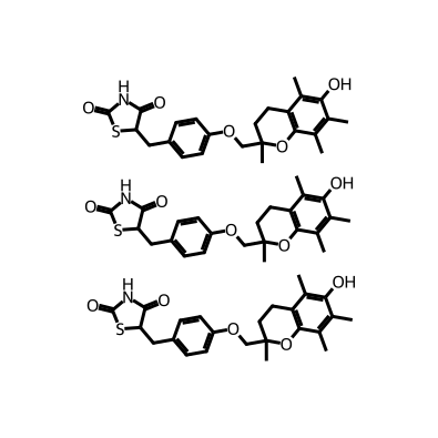 Cc1c(C)c2c(c(C)c1O)CCC(C)(COc1ccc(CC3SC(=O)NC3=O)cc1)O2.Cc1c(C)c2c(c(C)c1O)CCC(C)(COc1ccc(CC3SC(=O)NC3=O)cc1)O2.Cc1c(C)c2c(c(C)c1O)CCC(C)(COc1ccc(CC3SC(=O)NC3=O)cc1)O2